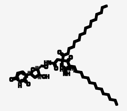 CCCCCCCCCCCCCCCC(=O)C(CC(=O)NOC[C@H]1O[C@@H](n2ccc(=O)[nH]c2=O)C[C@@H]1O)(NC(=N)N)C(=O)CCCCCCCCCCCCCCC